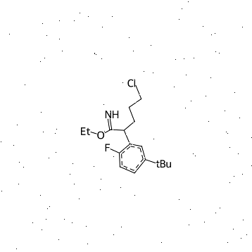 CCOC(=N)C(CCCCl)c1cc(C(C)(C)C)ccc1F